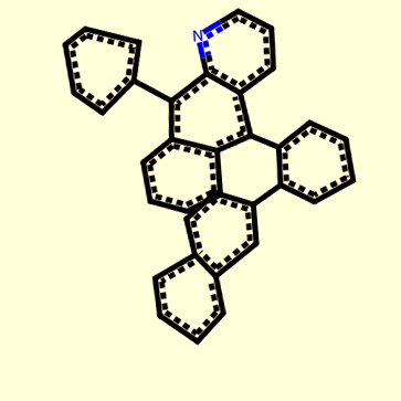 c1ccc(-c2c3ccccc3c(-c3ccccc3-c3ccc4ccccc4c3)c3cccnc23)cc1